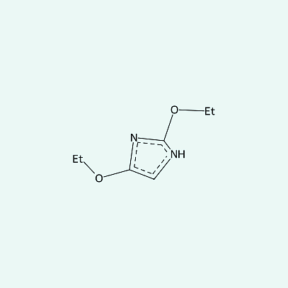 CCOc1c[nH]c(OCC)n1